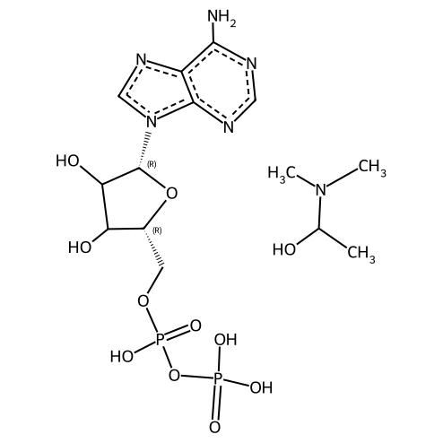 CC(O)N(C)C.Nc1ncnc2c1ncn2[C@@H]1O[C@H](COP(=O)(O)OP(=O)(O)O)C(O)C1O